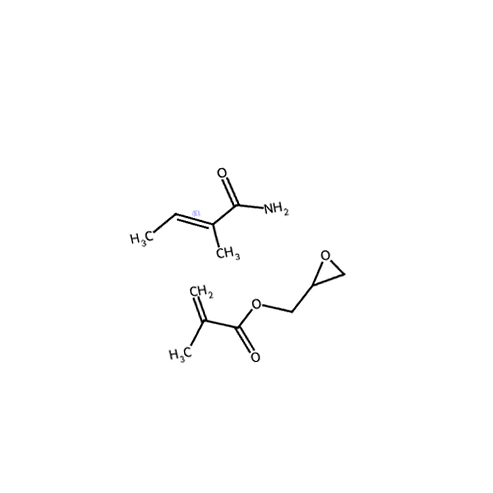 C/C=C(\C)C(N)=O.C=C(C)C(=O)OCC1CO1